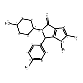 CC(C)n1c(Br)cc2c1C(c1ccc(C#N)cc1)N(C1CCC(O)CC1)C2=O